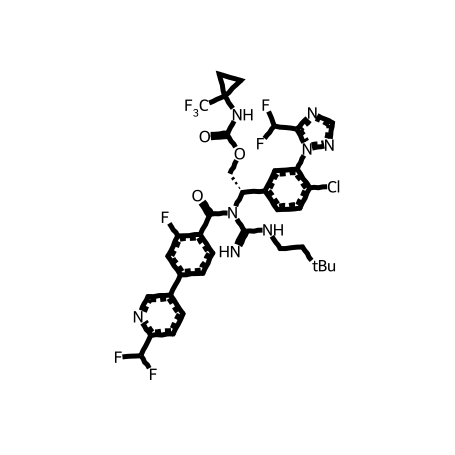 CC(C)(C)CCNC(=N)N(C(=O)c1ccc(-c2ccc(C(F)F)nc2)cc1F)[C@H](COC(=O)NC1(C(F)(F)F)CC1)c1ccc(Cl)c(-n2ncnc2C(F)F)c1